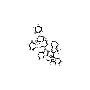 CC1(C)c2ccccc2-c2c1c1c(c3c4ccccc4n(-c4ccc5nc(-c6ccccc6)nc(-c6ccccc6)c5c4)c23)C(C)(C)c2ccccc2-1